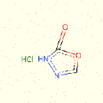 Cl.O=c1[nH]nco1